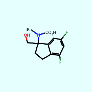 CC(C)(C)N(C(=O)O)C1(CO)CCc2c(F)cc(F)cc21